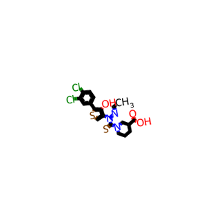 C/C=N/N(C(=S)N1CCCC(C(=O)O)C1)c1csc(-c2ccc(Cl)c(Cl)c2)c1O